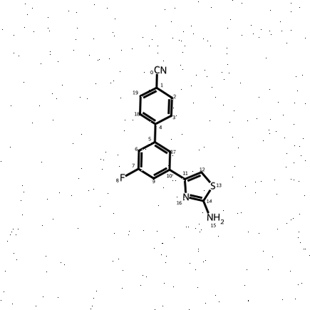 N#Cc1ccc(-c2cc(F)cc(-c3csc(N)n3)c2)cc1